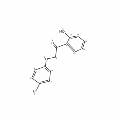 CCc1ccc(OCC(=O)c2ccccc2O)cc1